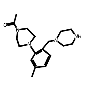 CC(=O)N1CCN(c2cc(C)ccc2CN2CCNCC2)CC1